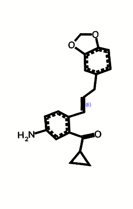 Nc1ccc(/C=C/Cc2ccc3c(c2)OCO3)c(C(=O)C2CC2)c1